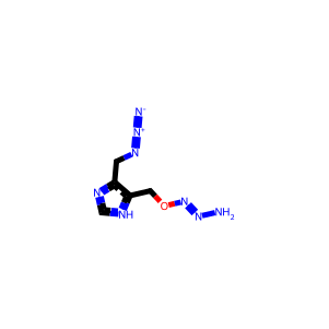 [N-]=[N+]=NCc1nc[nH]c1CON=NN